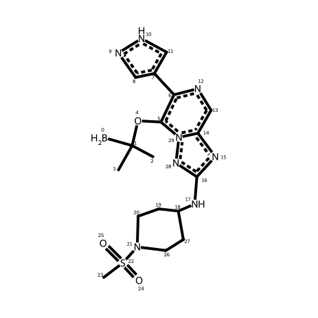 BC(C)(C)Oc1c(-c2cn[nH]c2)ncc2nc(NC3CCN(S(C)(=O)=O)CC3)nn12